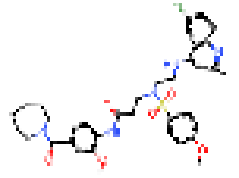 COc1ccc(S(=O)(=O)N(CCNc2cc(C)nc3ccc(Cl)cc23)CCC(=O)Nc2ccc(C(=O)N3CCCCCC3)cc2OC)cc1